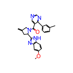 C=C1CC(c2nc3cc(OC)ccc3[nH]2)N(C(=O)c2cncnc2-c2cccc(C)c2)C1